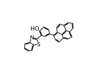 Oc1ccc(-c2ccc3ccc4cccc5ccc2c3c45)cc1-c1nc2ccccc2s1